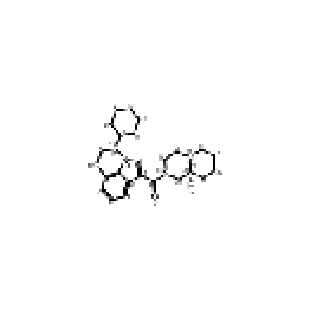 O=C(c1cn2c3c(cccc13)OC[C@H]2C1CCCCC1)N1CCN2CCCC[C@H]2C1